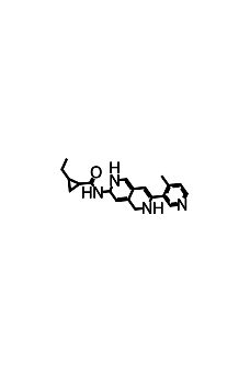 CCC1CC1C(=O)NC1C=C2CNC(c3cnccc3C)=CC2=CN1